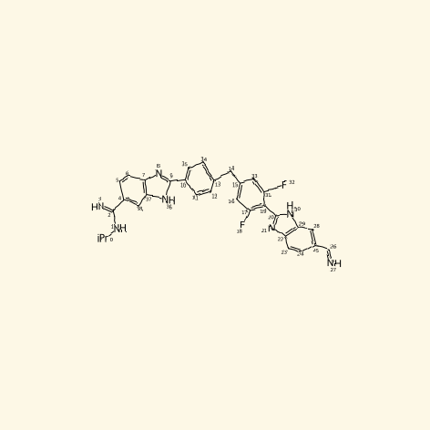 CC(C)NC(=N)c1ccc2nc(-c3ccc(Cc4cc(F)c(-c5nc6ccc(C=N)cc6[nH]5)c(F)c4)cc3)[nH]c2c1